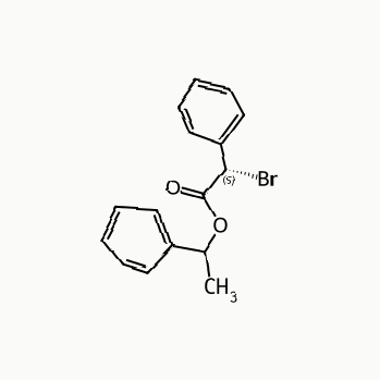 CC(OC(=O)[C@@H](Br)c1ccccc1)c1ccccc1